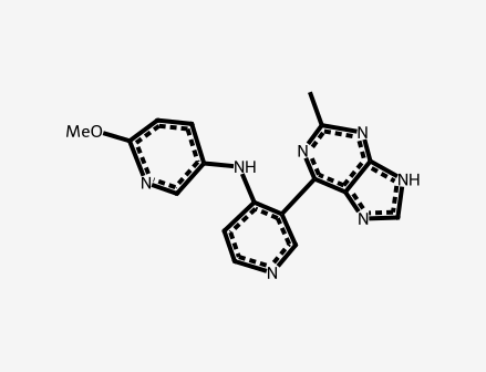 COc1ccc(Nc2ccncc2-c2nc(C)nc3[nH]cnc23)cn1